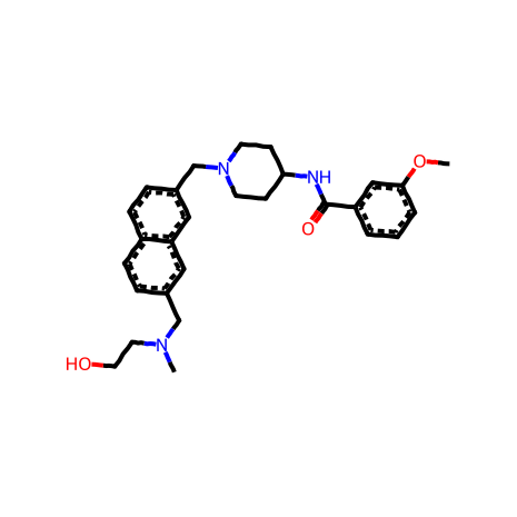 COc1cccc(C(=O)NC2CCN(Cc3ccc4ccc(CN(C)CCO)cc4c3)CC2)c1